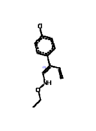 C=C/C(=C\NOCC)c1ccc(Cl)cc1